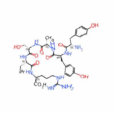 CC(C)C[C@H](NC(=O)[C@H](CO)NC(=O)[C@H](C)NC(=O)[C@H](Cc1ccc(O)cc1)NC(=O)[C@@H](N)Cc1ccc(O)cc1)C(=O)N[C@@H](CCCNC(=N)N)C(=O)O